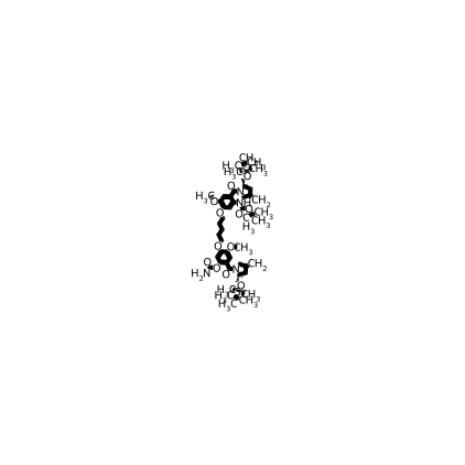 C=C1C[C@H](CO[Si](C)(C)C(C)(C)C)N(C(=O)c2cc(OC)c(OCCCCCOc3cc(OC(N)=O)c(C(=O)N4CC(=C)C[C@@H]4CO[Si](C)(C)C(C)(C)C)cc3OC)cc2NC(=O)OC(C)(C)C)C1